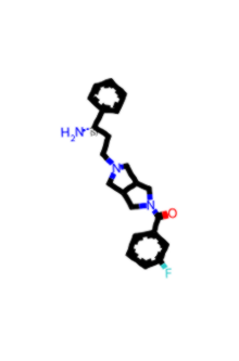 N[C@@H](CCN1CC2CN(C(=O)c3cccc(F)c3)CC2C1)c1ccccc1